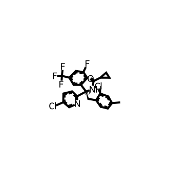 Cc1ccc(C[C@](NC(=O)C2CC2)(c2cc(F)cc(C(F)(F)F)c2)c2ccc(Cl)cn2)c(Cl)c1